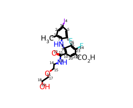 Cc1cc(I)ccc1Nc1c(C(=O)NCCOCCO)cc(C(=O)O)c(F)c1F